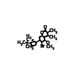 COc1c(Br)c(-c2ccc(C(C)(C)C)s2)cc2oc(=O)c(C)c(C)c12